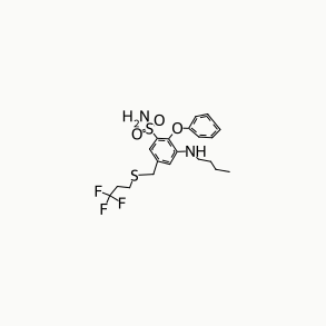 CCCCNc1cc(CSCCC(F)(F)F)cc(S(N)(=O)=O)c1Oc1ccccc1